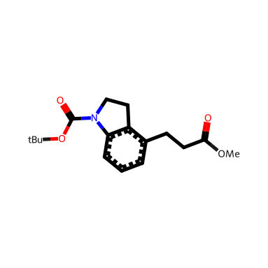 COC(=O)CCc1cccc2c1CCN2C(=O)OC(C)(C)C